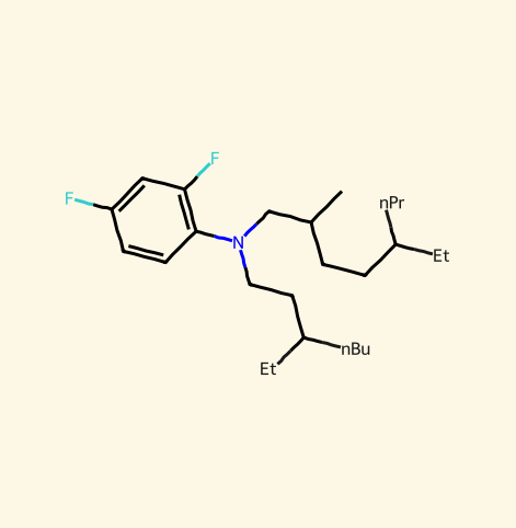 CCCCC(CC)CCN(CC(C)CCC(CC)CCC)c1ccc(F)cc1F